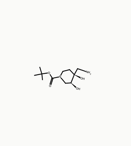 CC(C)(C)OC(=O)N1CC[C@](O)(CN)[C@@H](O)C1